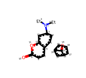 CCN(CC)c1ccc2ccc(=O)oc2c1.O=C1c2cccc1c2